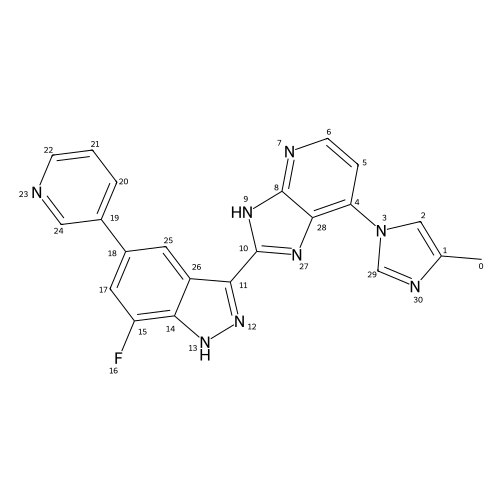 Cc1cn(-c2ccnc3[nH]c(-c4n[nH]c5c(F)cc(-c6cccnc6)cc45)nc23)cn1